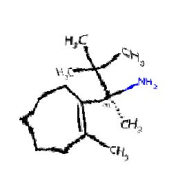 CC1=C([C@](C)(N)C(C)(C)C)CCCCC1